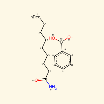 CCCCCCCCCCCCCCCCCC(N)=O.OB(O)c1ccccc1